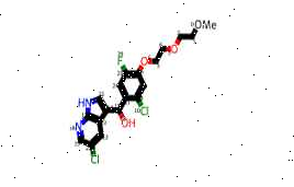 COCCOCCOc1cc(Cl)c(C(O)c2c[nH]c3ncc(Cl)cc23)cc1F